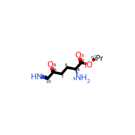 CC(C)OC(=O)[C@@H](N)CCC(=O)C=N